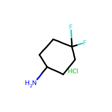 Cl.NC1CCC(F)(F)CC1